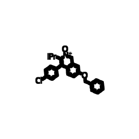 CC(C)C1=C(c2ccc(Cl)cc2)c2ccc(OCc3ccccc3)cc2C[N+]1=O